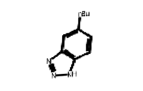 CCCCc1ccc2[nH]nnc2c1